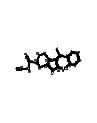 CN(c1ccccc1C(F)(F)F)c1nnc2n1CCN(C(=O)OC(C)(C)C)C2